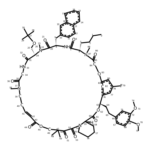 CCCC[C@H]1C(=O)N[C@@H](Cc2ccc3ccccc3c2)C(=O)N(C)[C@@H](COC(C)(C)C)C(=O)NCC(=O)N(C)CC/C=C/C(=O)OCC(C)(C)C(=O)C(=O)N2CCCC[C@H]2C(=O)O[C@H](CCc2ccc(OC)c(OC)c2)c2cc(F)cc(c2)OCC(=O)N1C